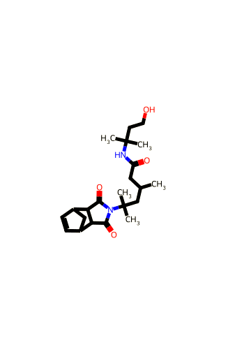 CC(CC(=O)NC(C)(C)CCO)CC(C)(C)N1C(=O)C2C3C=CC(C3)C2C1=O